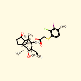 C=C[C@]1(C)C[C@@H](OC(=O)CSc2ccc(C=O)c(I)c2F)[C@]2(C)[C@H](C)CC[C@]3(CCC(=O)[C@H]32)[C@@H](C)[C@@H]1O